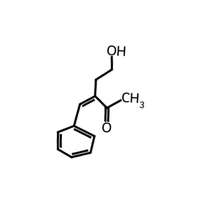 CC(=O)C(=Cc1ccccc1)CCO